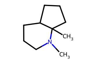 CN1CCCC2CCCC21C